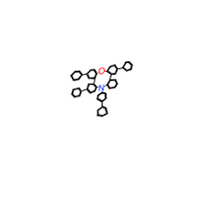 c1ccc(-c2ccc(N3c4ccccc4-c4cc(-c5ccccc5)ccc4Oc4ccc(-c5ccccc5)cc4-c4cc(-c5ccccc5)ccc43)cc2)cc1